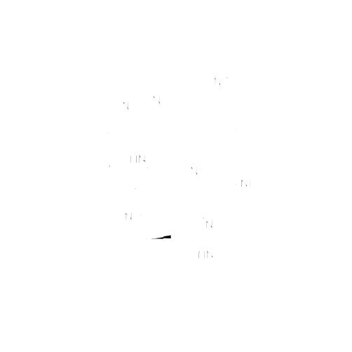 Cc1cc(Nc2cc3nccnc3c(NC3CC4CC[C@@H](C3)N4CCC#N)n2)n[nH]1